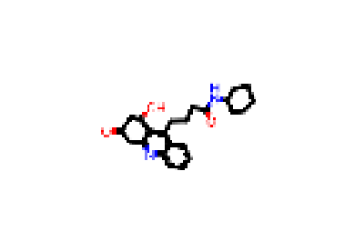 O=C1Cc2nc3ccccc3c(CCCC(=O)NC3CCCCC3)c2C(O)C1